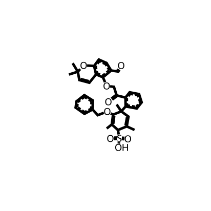 CC1=CC(C)(c2ccccc2C(=O)COc2c(C=O)ccc3c2C=CC(C)(C)O3)C(OCc2ccccc2)=C(C)C1S(=O)(=O)O